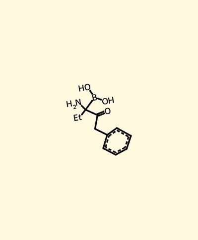 CCC(N)(B(O)O)C(=O)Cc1ccccc1